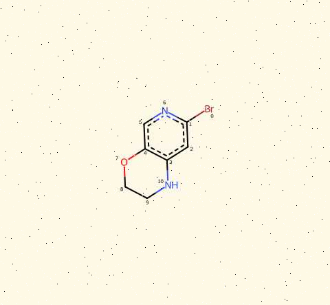 Brc1cc2c(cn1)OCCN2